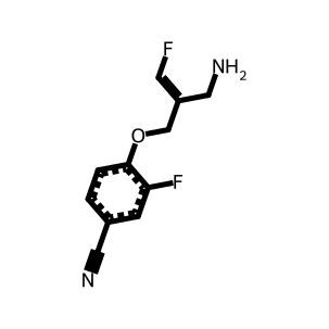 N#Cc1ccc(OCC(=CF)CN)c(F)c1